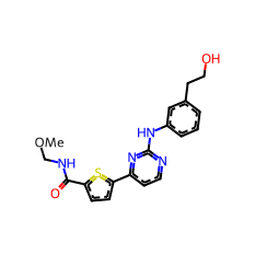 COCNC(=O)c1ccc(-c2ccnc(Nc3cccc(CCO)c3)n2)s1